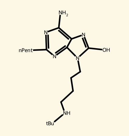 CCCCCc1nc(N)c2nc(O)n(CCCCNC(C)(C)C)c2n1